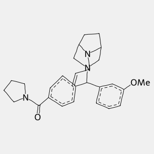 C=CCN1C2CCC1CN(C(c1ccc(C(=O)N3CCCC3)cc1)c1cccc(OC)c1)C2